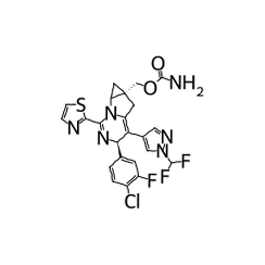 NC(=O)OC[C@]12CC3=C(c4cnn(C(F)F)c4)[C@@H](c4ccc(Cl)c(F)c4)N=C(c4nccs4)N3C1C2